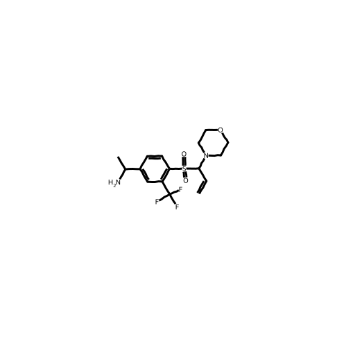 C=CC(N1CCOCC1)S(=O)(=O)c1ccc(C(C)N)cc1C(F)(F)F